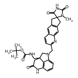 CN1C(=O)NC(=O)C12Cc1cc3ccc(CN4CC5(CNC(=O)OC(C)(C)C)CC(=O)Nc6cccc4c65)nc3cc1C2